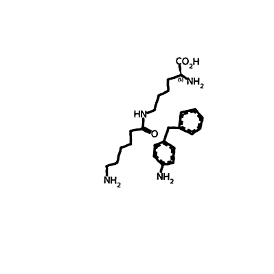 NCCCCCC(=O)NCCCC[C@H](N)C(=O)O.Nc1ccc(Cc2ccccc2)cc1